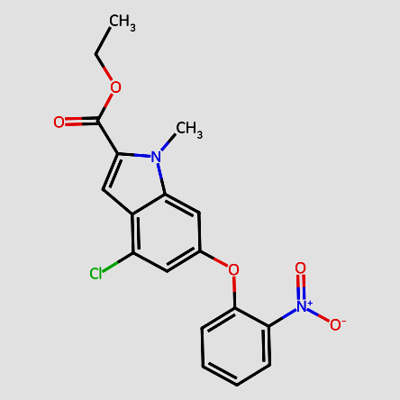 CCOC(=O)c1cc2c(Cl)cc(Oc3ccccc3[N+](=O)[O-])cc2n1C